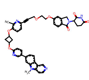 Cn1c2ccncc2c2ccc(-c3ccc(OC4CC(Oc5ccc(C#CCOCCOc6ccc7c(c6)CN(C6CCC(=O)NC6=O)C7=O)nc5C#N)C4)nc3)cc21